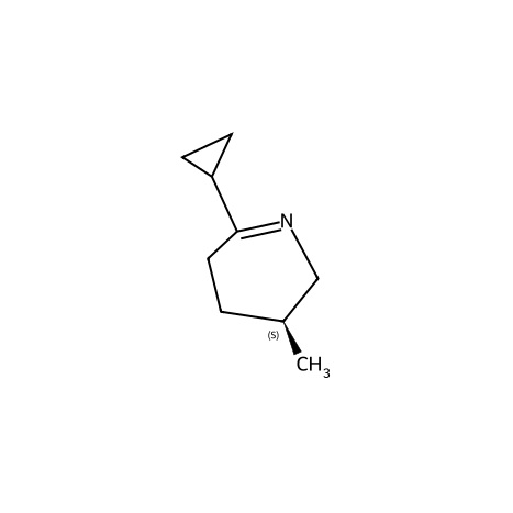 C[C@H]1CCC(C2CC2)=NC1